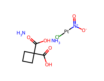 N.N.O=C(O)C1(C(=O)O)CCC1.O=[N+]([O-])[Pt][Cl]